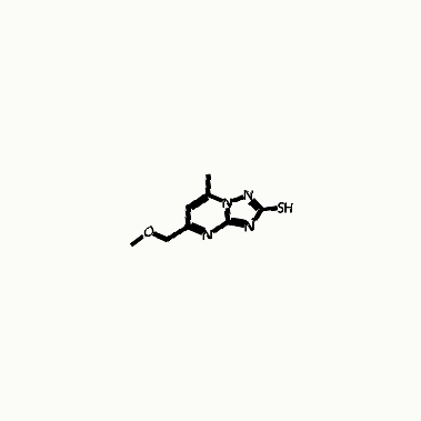 COCc1cc(C)n2nc(S)nc2n1